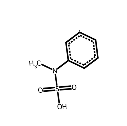 CN(c1c[c]ccc1)S(=O)(=O)O